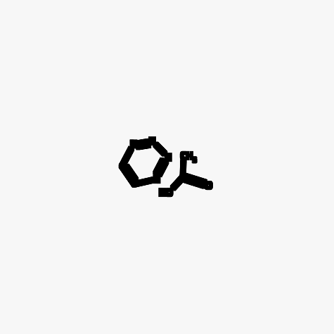 CC(=O)O.c1cnnnn1